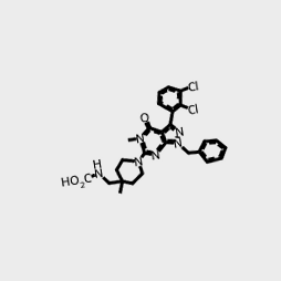 Cn1c(N2CCC(C)(CNC(=O)O)CC2)nc2c(c(-c3cccc(Cl)c3Cl)nn2Cc2ccccc2)c1=O